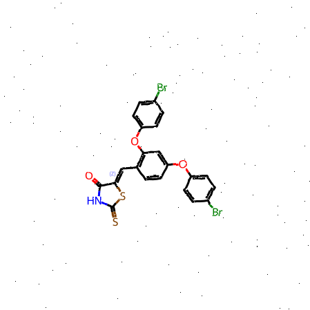 O=C1NC(=S)S/C1=C\c1ccc(Oc2ccc(Br)cc2)cc1Oc1ccc(Br)cc1